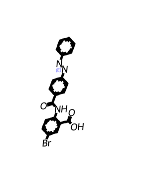 O=C(Nc1ccc(Br)cc1C(=O)O)c1ccc(/N=N/c2ccccc2)cc1